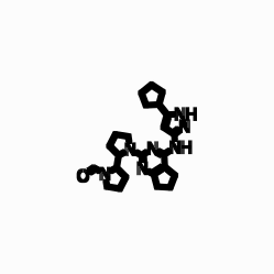 O=CN1CCCC1C1CCCN1c1nc2c(c(Nc3cc(C4CCCC4)[nH]n3)n1)CCC2